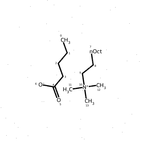 CCCCC(=O)[O-].CCCCCCCCCC[N+](C)(C)C